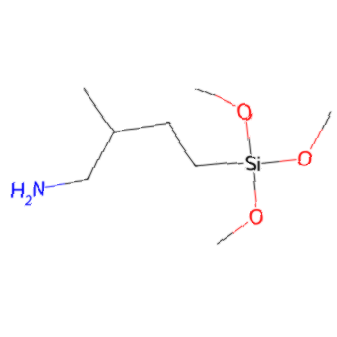 CO[Si](CCC(C)CN)(OC)OC